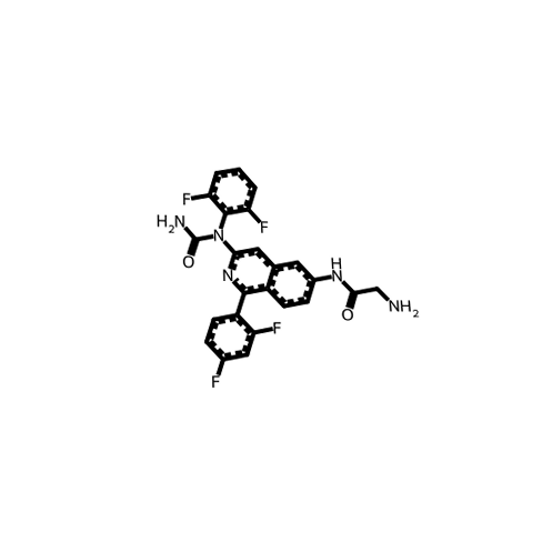 NCC(=O)Nc1ccc2c(-c3ccc(F)cc3F)nc(N(C(N)=O)c3c(F)cccc3F)cc2c1